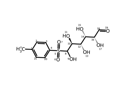 Cc1ccc(S(=O)(=O)C(O)[C@@H](O)[C@@H](O)[C@H](O)[C@@H](O)C=O)cc1